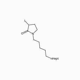 CCCCCCCCCCCCN1CCC(I)C1=O